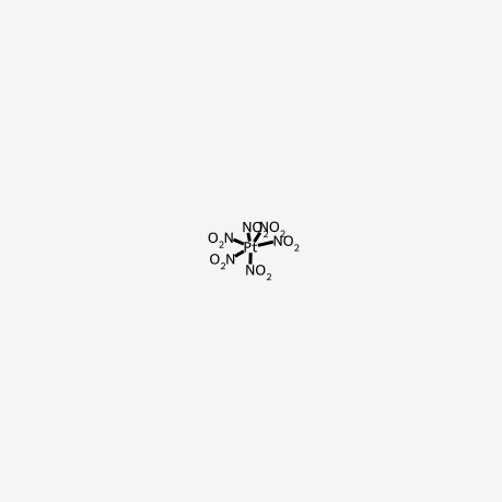 O=[N+]([O-])[Pt]([N+](=O)[O-])([N+](=O)[O-])([N+](=O)[O-])([N+](=O)[O-])[N+](=O)[O-]